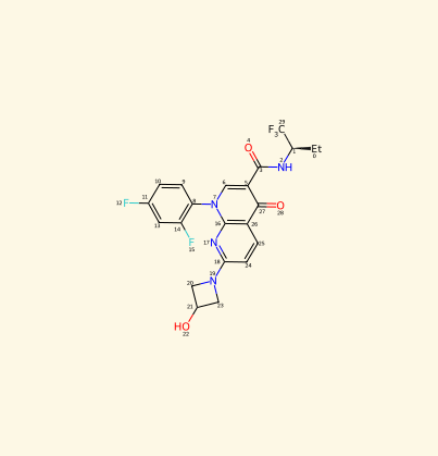 CC[C@@H](NC(=O)c1cn(-c2ccc(F)cc2F)c2nc(N3CC(O)C3)ccc2c1=O)C(F)(F)F